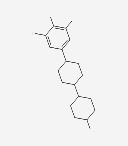 Fc1cc(C2CCC(C3CCC(S)CC3)CC2)cc(F)c1F